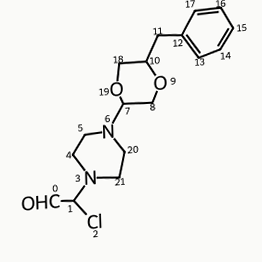 O=CC(Cl)N1CCN(C2COC(Cc3ccccc3)CO2)CC1